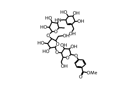 COC(=O)c1ccc(OC2OC(CO)C(OC3OC(CO)C(OC4OC(C)C(NC5C=C(CO)C(O)C(O)C5O)C(O)C4O)C(O)C3O)C(O)C2O)cc1